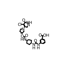 O=C(Nc1cccc(C(=O)O)c1)N[C@H]1CC[C@H](NC(=O)O[C@@H]2CCN(c3cn[nH]c(=O)c3Cl)C2)CC1